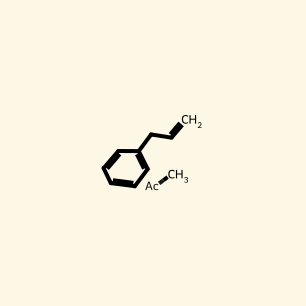 C=CCc1ccccc1.CC(C)=O